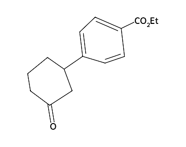 CCOC(=O)c1ccc(C2CCCC(=O)C2)cc1